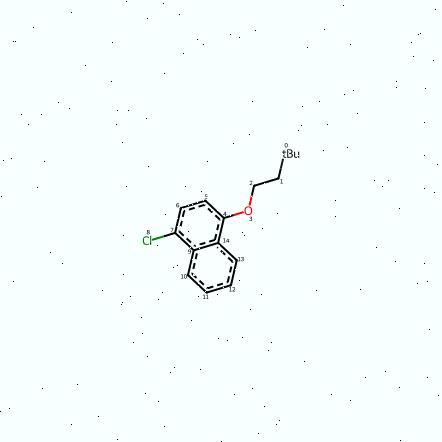 CC(C)(C)CCOc1ccc(Cl)c2ccccc12